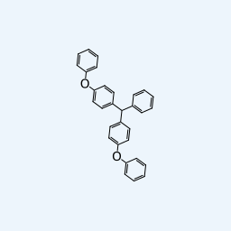 c1ccc(Oc2ccc(C(c3ccccc3)c3ccc(Oc4ccccc4)cc3)cc2)cc1